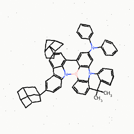 CC1(C)c2ccccc2N2c3cc(N(c4ccccc4)c4ccccc4)cc4c3B(c3cccc1c32)n1c2ccc(C35CC6CC7CC(C3)C76C5)cc2c2cc(C35C6CCC3CC5C6)cc-4c21